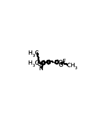 CCCCCC[C@H](C)Oc1ccc(-c2ccc(CC[C@H]3CC[C@H](OC(=O)[C@@H](F)CCCC)CC3)cc2)cc1C#N